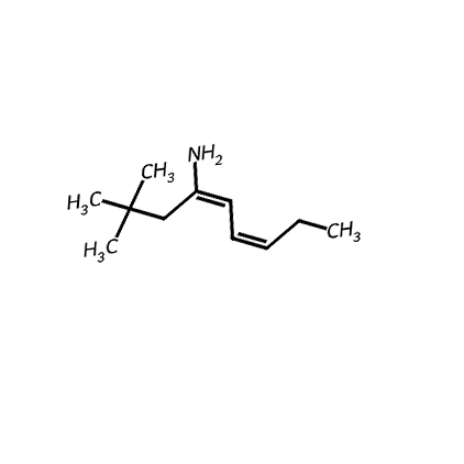 CC/C=C\C=C(\N)CC(C)(C)C